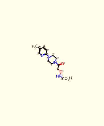 O=C(O)NOCC(=O)N1CCN(c2ccc(C(F)(F)F)cn2)CC1